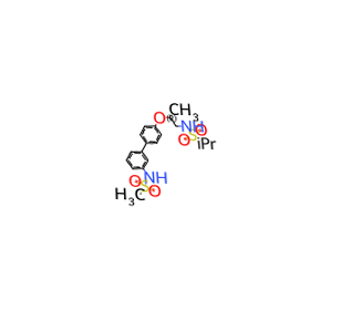 CC(C)S(=O)(=O)NC[C@@H](C)Oc1ccc(-c2cccc(NS(C)(=O)=O)c2)cc1